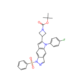 CC(C)(C)OC(=O)N1CC(c2cc3cc4c(cnn4S(=O)(=O)c4ccccc4)cc3n2-c2ccc(F)cc2)C1